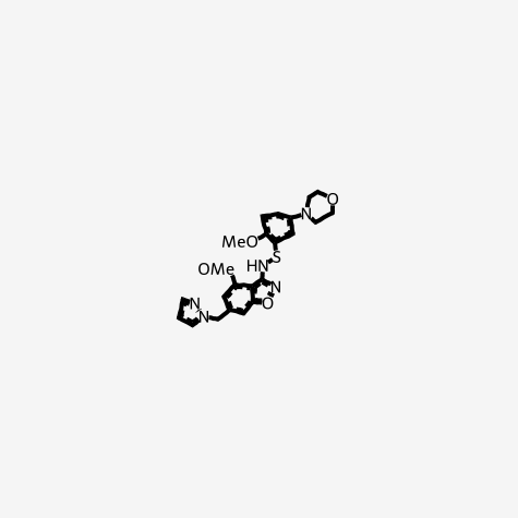 COc1ccc(N2CCOCC2)cc1SNc1noc2cc(Cn3cccn3)cc(OC)c12